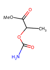 COC(=O)C(C)OC(N)=O